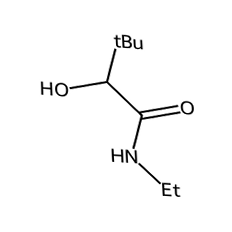 CCNC(=O)C(O)C(C)(C)C